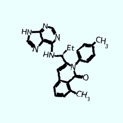 CC[C@H](Nc1ncnc2[nH]cnc12)c1cc2cccc(C)c2c(=O)n1-c1ccc(C)cc1